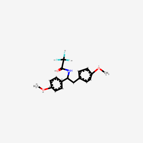 COc1ccc(CC(NC(=O)C(F)(F)F)c2ccc(OC)cc2)cc1